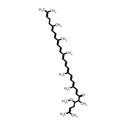 COC(CC=C(C)C)C(C)C(=O)/C=C/C(C)=C/C=C/C(C)=C/C=C/C=C(C)/C=C/C=C(C)/C=C/C=C(\C)CCC=C(C)C